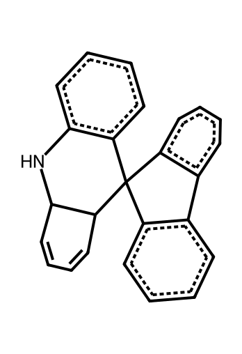 C1=CC2Nc3ccccc3C3(c4ccccc4-c4ccccc43)C2C=C1